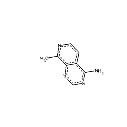 Cc1nccc2c(N)ncnc12